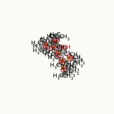 CC(C)CC(C)OP(=O)(OC(C)CC(C)C)SCC(C)OP(=O)(OCC(C)OP(=O)(OC(C)CSP(=O)(OC(C)CSP(=O)(OC(C)CC(C)C)OC(C)CC(C)C)OC(C)CSP(=O)(OC(C)CC(C)C)OC(C)CC(C)C)SCCC(=O)O)OC(C)CSP(=O)(OC(C)CC(C)C)OC(C)CC(C)C